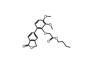 CCCCOC(=O)COc1c(-c2ccc3c(c2)COC3=O)ccc(OC)c1OC